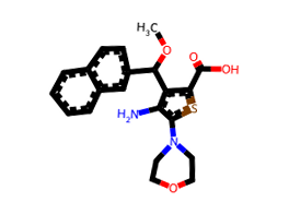 COC(c1ccc2ccccc2c1)c1c(C(=O)O)sc(N2CCOCC2)c1N